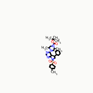 Cc1ccc(S(=O)(=O)n2cc(-c3ccccc3)c3c(N4C[C@H](C)N(C(=O)OC(C)(C)C)CC4C)ncnc32)cc1